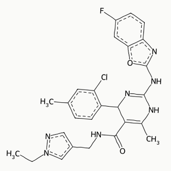 CCn1cc(CNC(=O)C2=C(C)NC(Nc3nc4ccc(F)cc4o3)=NC2c2ccc(C)cc2Cl)cn1